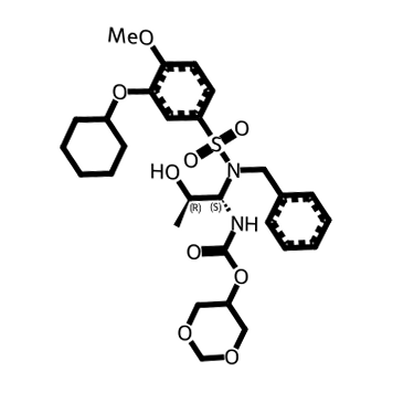 COc1ccc(S(=O)(=O)N(Cc2ccccc2)[C@H](NC(=O)OC2COCOC2)[C@@H](C)O)cc1OC1CCCCC1